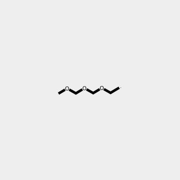 [CH2]COCOCOC